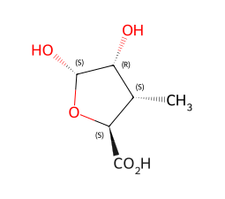 C[C@H]1[C@@H](O)[C@@H](O)O[C@@H]1C(=O)O